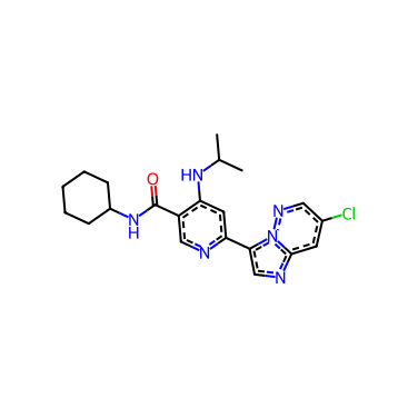 CC(C)Nc1cc(-c2cnc3cc(Cl)cnn23)ncc1C(=O)NC1CCCCC1